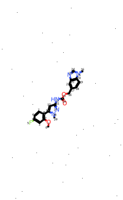 COc1cc(F)ccc1-c1cc(NC(=O)OCc2ccc3c(c2)ncn3C)nn1C